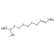 [CH2]CCCC=CCCCCCCC(CCC[CH2])C(C)C